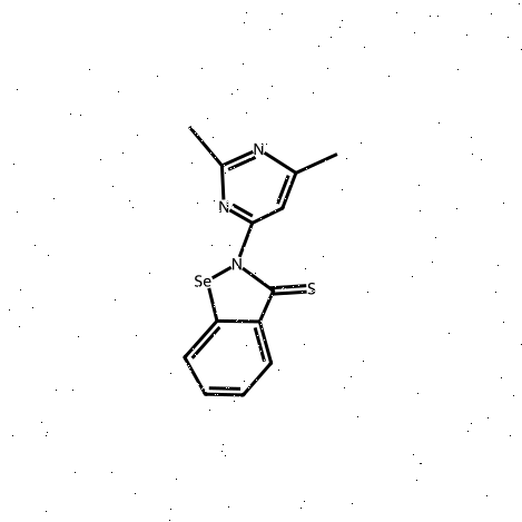 Cc1cc(-n2[se]c3ccccc3c2=S)nc(C)n1